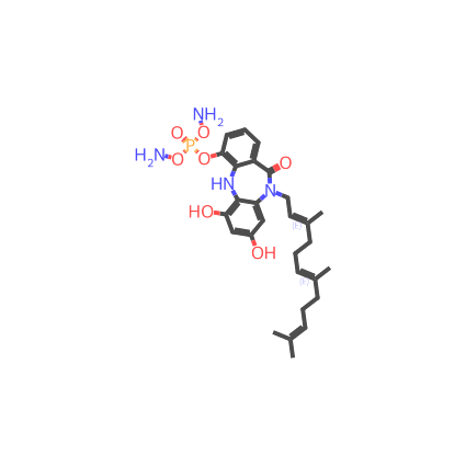 CC(C)=CCC/C(C)=C/CC/C(C)=C/CN1C(=O)c2cccc(OP(=O)(ON)ON)c2Nc2c(O)cc(O)cc21